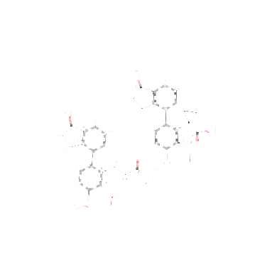 COc1ccc(-c2cccc3c2CCC3=O)c(C2(C(=O)O)CC2)c1OC.COc1ccc(-c2cccc3c2CCC3=O)c(CCC(=O)O)c1OC